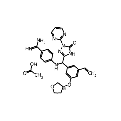 C=Cc1cc(O[C@H]2CCOC2)cc(C(Nc2ccc(C(=N)N)cc2)c2nn(-c3ncccn3)c(=O)[nH]2)c1.CC(=O)O